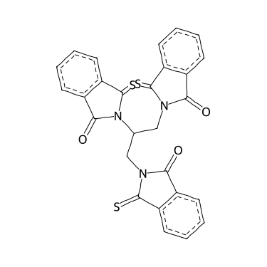 O=C1c2ccccc2C(=S)N1CC(CN1C(=O)c2ccccc2C1=S)N1C(=O)c2ccccc2C1=S